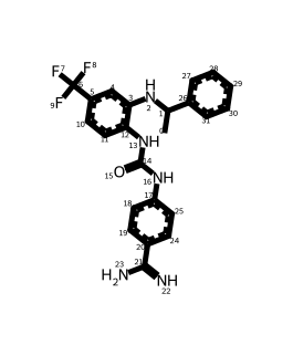 CC(Nc1cc(C(F)(F)F)ccc1NC(=O)Nc1ccc(C(=N)N)cc1)c1ccccc1